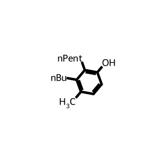 CCCCCc1c(O)ccc(C)c1CCCC